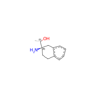 C[C@H](O)[C@@]1(N)CCc2ccccc2C1